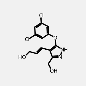 OC/C=C/c1c(CO)n[nH]c1Oc1cc(Cl)cc(Cl)c1